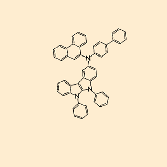 c1ccc(-c2ccc(N(c3ccc4c(c3)c3c5ccccc5n(-c5ccccc5)c3n4-c3ccccc3)c3cc4ccccc4c4ccccc34)cc2)cc1